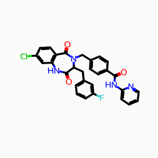 O=C(Nc1ccccn1)c1ccc(CN2C(=O)c3ccc(Cl)cc3NC(=O)C2Cc2cccc(F)c2)cc1